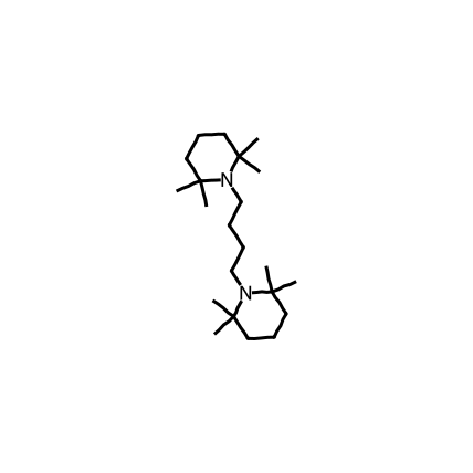 CC1(C)CCCC(C)(C)N1CCCCN1C(C)(C)CCCC1(C)C